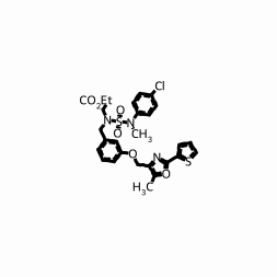 CCOC(=O)CN(Cc1cccc(OCc2nc(-c3cccs3)oc2C)c1)S(=O)(=O)N(C)c1ccc(Cl)cc1